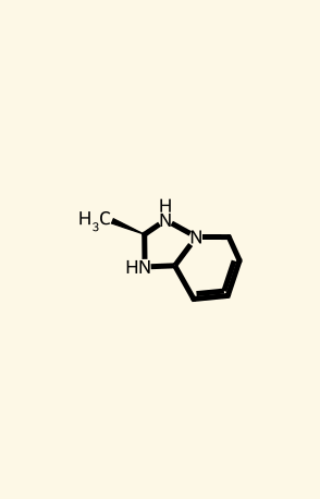 C[C@@H]1NC2C=C=CCN2N1